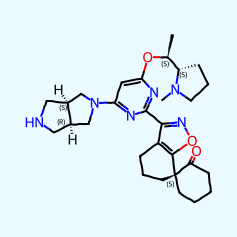 C[C@H](Oc1cc(N2C[C@H]3CNC[C@H]3C2)nc(-c2noc3c2CCC[C@@]32CCCCC2=O)n1)[C@@H]1CCCN1C